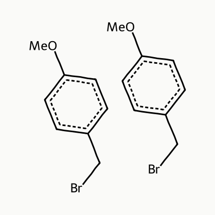 COc1ccc(CBr)cc1.COc1ccc(CBr)cc1